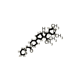 Cc1cc(-c2[nH]c3ccc(C4CCN(C(=O)CN5CCCCS5)CC4)cc3c2C(C)C)cc(C)n1